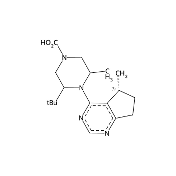 CC1CN(C(=O)O)CC(C(C)(C)C)N1c1ncnc2c1[C@H](C)CC2